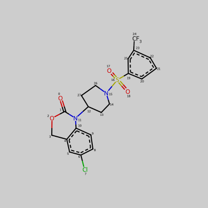 O=C1OCc2cc(Cl)ccc2N1C1CCN(S(=O)(=O)c2cccc(C(F)(F)F)c2)CC1